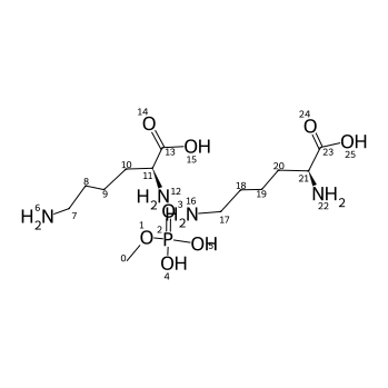 COP(=O)(O)O.NCCCC[C@H](N)C(=O)O.NCCCC[C@H](N)C(=O)O